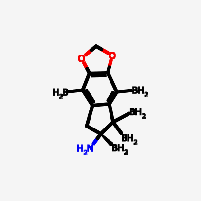 Bc1c2c(c(B)c3c1OCO3)C(B)(B)[C@](B)(N)C2